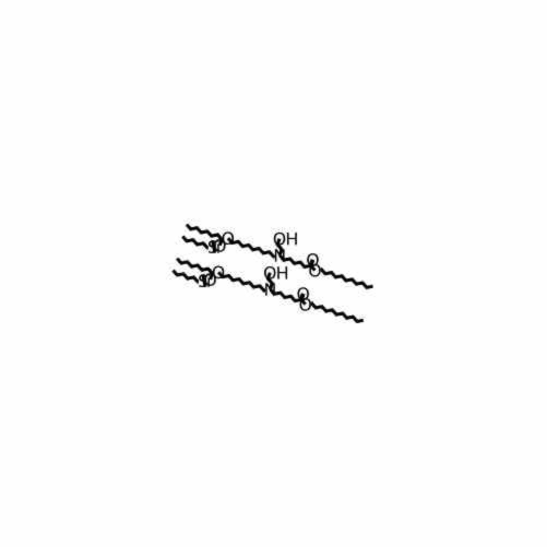 CCCCCCCCCCCOC(=O)CCCCCN(CCO)CCCCCCCCCOC(CCCCCCC)O[Si](C)(C)CCCCCC.CCCCCCCCCCCOC(=O)CCCCCN(CCO)CCCCCCCCCOC(CCCCCCC)O[Si](C)(C)CCCCCC